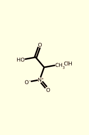 CC(C(=O)O)[N+](=O)[O-].Cl